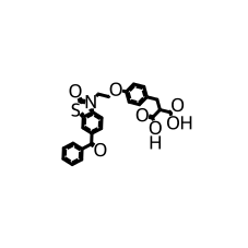 O=C(c1ccccc1)c1ccc2c(c1)sc(=O)n2CCOc1ccc(CC(C(=O)O)C(=O)O)cc1